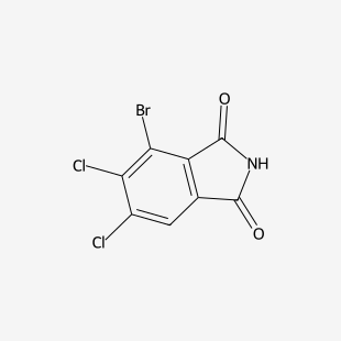 O=C1NC(=O)c2c1cc(Cl)c(Cl)c2Br